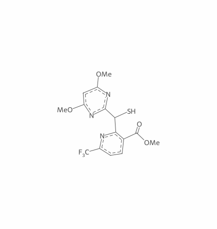 COC(=O)c1ccc(C(F)(F)F)nc1C(S)c1nc(OC)cc(OC)n1